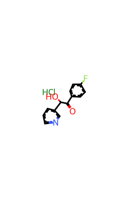 Cl.O=C(c1ccc(F)cc1)C(O)c1cccnc1